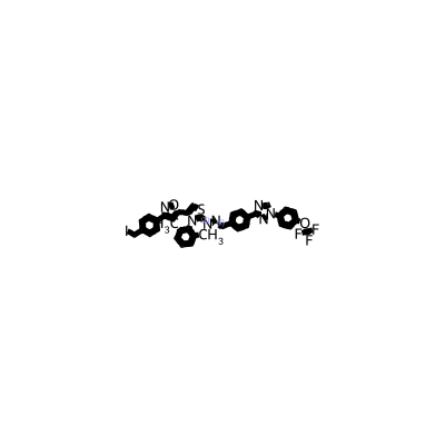 Cc1cccc(C)c1-n1c(-c2cc(-c3ccc(CI)cc3)no2)cs/c1=N\N=C\c1ccc(-c2ncn(-c3ccc(OC(F)(F)F)cc3)n2)cc1